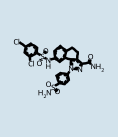 NC(=O)c1nn(-c2ccc(S(N)(=O)=O)cc2)c2c1CCc1ccc(NS(=O)(=O)c3ccc(Cl)cc3Cl)cc1-2